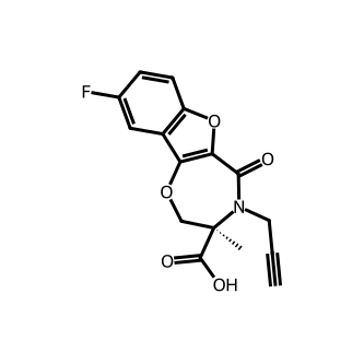 C#CCN1C(=O)c2oc3ccc(F)cc3c2OC[C@]1(C)C(=O)O